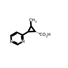 CC1C(c2ccncn2)[C@H]1C(=O)O